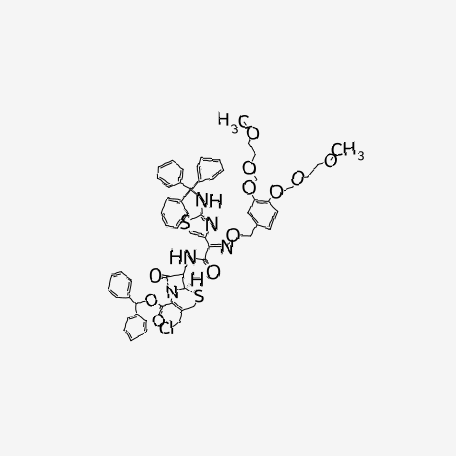 COCCOCOc1ccc(CO/N=C(/C(=O)NC2C(=O)N3C(C(=O)OC(c4ccccc4)c4ccccc4)=C(CCl)CS[C@H]23)c2csc(NC(c3ccccc3)(c3ccccc3)c3ccccc3)n2)cc1OCOCCOC